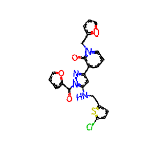 O=C(c1ccco1)n1nc(-c2cccn(Cc3ccco3)c2=O)cc1NCc1ccc(Cl)s1